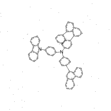 c1ccc(-c2cccc3cccc(-c4ccc(N(c5ccc(-c6cc7ccccc7c7ccccc67)cc5)c5ccc(-n6c7ccccc7c7ccccc76)cc5)cc4)c23)cc1